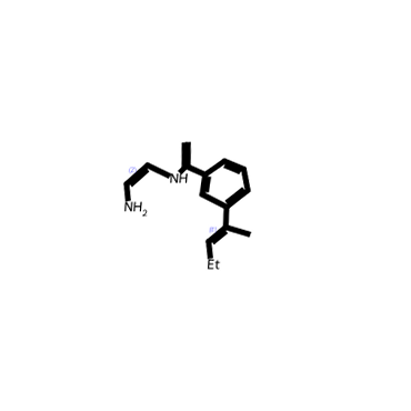 C=C(N/C=C\N)c1cccc(/C(C)=C/CC)c1